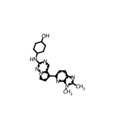 Cc1nc2ccc(-c3ccn4nc(NC5CCC(O)CC5)ncc34)nc2n1C